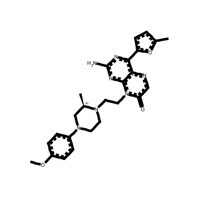 COc1ccc(N2CCN(CCn3c(=O)cnc4c(-c5ccc(C)o5)nc(N)nc43)[C@H](C)C2)cc1